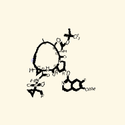 COc1cc2ccnc(O[C@@H]3C[C@H]4C(=O)N[C@]5(C(=O)NS(=O)(=O)C6(CF)CC6)C[C@H]5/C=C\CC[C@@H](C)C[C@@H](C)[C@H](NC(=O)OC(C)(C)C(F)(F)F)C(=O)N4C3)c2cc1F